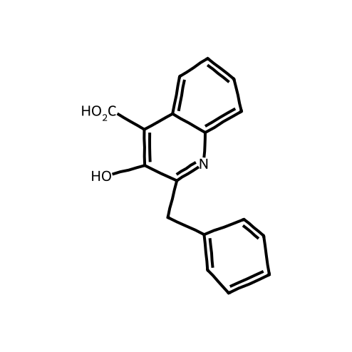 O=C(O)c1c(O)c(Cc2ccccc2)nc2ccccc12